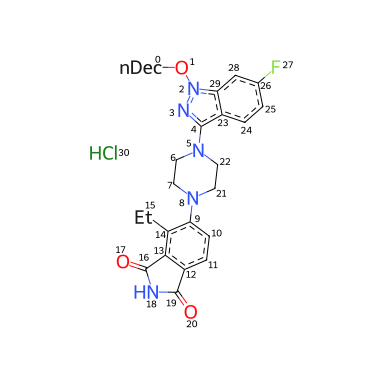 CCCCCCCCCCOn1nc(N2CCN(c3ccc4c(c3CC)C(=O)NC4=O)CC2)c2ccc(F)cc21.Cl